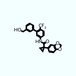 O=C(Nc1ccc(C(F)(F)F)c(-c2cccc(CO)c2)c1)C1(c2ccc3c(c2)OCO3)CC1